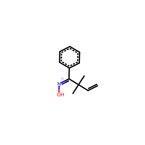 C=CC(C)(C)/C(=N\O)c1ccccc1